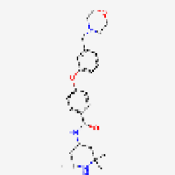 CC1(C)CC(NC(=O)c2ccc(Oc3cccc(CN4CCOCC4)c3)cc2)CC(C)(C)N1